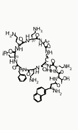 CC(=O)[C@@H]1NC(=O)[C@H](CCN)NC(=O)[C@H](CCN)NC(=O)[C@H](CC(C)C)NC(=O)[C@@H](Cc2ccccc2)NC(=O)[C@H](CCN)NC(=O)[C@@H](NC(=O)[C@H](CCN)NC(=O)[C@@H](NC(=O)C[C@H](N)c2ccc3ccccc3c2)C(C)O)CCNC1=O